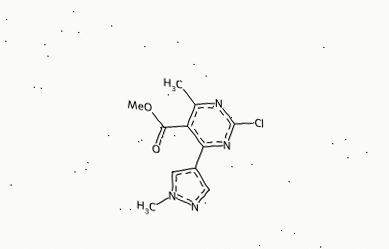 COC(=O)c1c(C)nc(Cl)nc1-c1cnn(C)c1